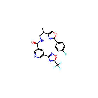 CC(CNC(=O)c1cncc(-c2noc(C(F)(F)F)n2)c1)c1coc(-c2ccc(F)cc2)n1